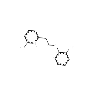 CCCCc1ccccc1NCCc1cccc(C(C)=O)n1